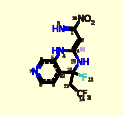 N=C(/C=C1\Nc2cnccc2C(F)(CC(F)(F)F)N1)[N+](=O)[O-]